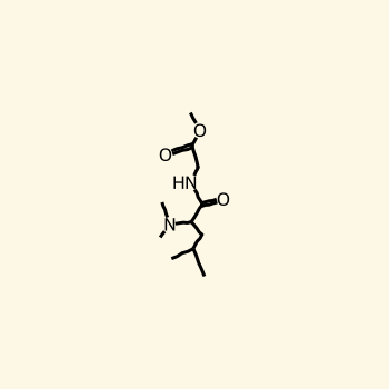 COC(=O)CNC(=O)C(CC(C)C)N(C)C